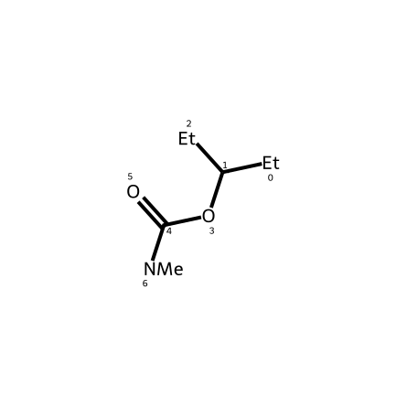 CC[C](CC)OC(=O)NC